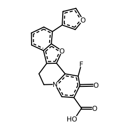 O=C(O)c1cn2c(c(F)c1=O)-c1oc3c(-c4ccoc4)cccc3c1CC2